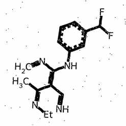 C=N/C(Nc1cccc(C(F)F)c1)=C(C=N)\C(C)=N/CC